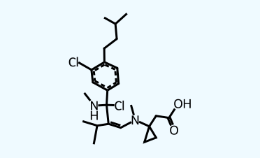 CNC(Cl)(/C(=C\N(C)C1(CC(=O)O)CC1)C(C)C)c1ccc(CCC(C)C)c(Cl)c1